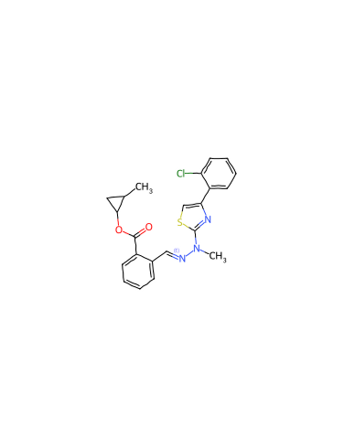 CC1CC1OC(=O)c1ccccc1/C=N/N(C)c1nc(-c2ccccc2Cl)cs1